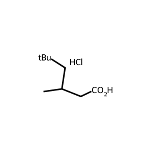 CC(CC(=O)O)CC(C)(C)C.Cl